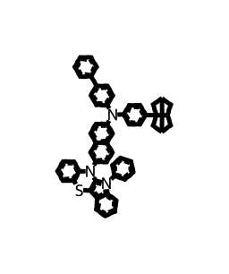 c1ccc(-c2ccc(N(c3ccc(C45CC6CC4CC6C5)cc3)c3ccc4cc(N5c6ccccc6Sc6c5n(-c5ccccc5)c5ccccc65)ccc4c3)cc2)cc1